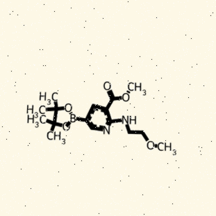 COCCNc1ncc(B2OC(C)(C)C(C)(C)O2)cc1C(=O)OC